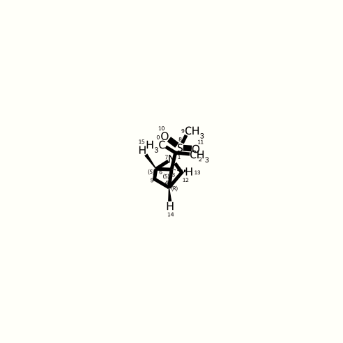 CC(C)[C@H]1[C@H]2C[C@@H]1N(S(C)(=O)=O)C2